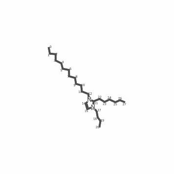 CCCCCCCCCCCCCN1C=CN(CCCC)C1CCCCCC